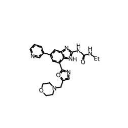 CCNC(=O)Nc1nc2cc(-c3cccnc3)cc(-c3ncc(CN4CCOCC4)o3)c2[nH]1